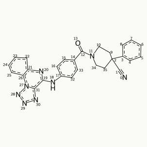 N#CC1(c2ccccc2)CCN(C(=O)c2ccc(Nc3nc4ccccc4n4nnnc34)cc2)CC1